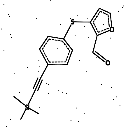 C[Si](C)(C)C#Cc1ccc(Sc2ccoc2C=O)cc1